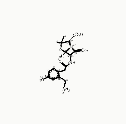 CC1(C)S[C@@H]2[C@H](NC(=O)Cc3ccc(O)cc3CN)C(=O)N2[C@H]1C(=O)O